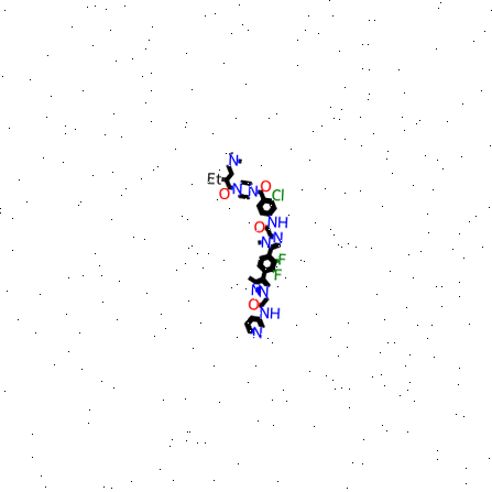 CCC(CCN(C)C)C(=O)N1CCN(C(=O)c2ccc(NC(=O)c3ncc(-c4ccc(-c5cn(CC(=O)Nc6cccnc6)nc5C)c(F)c4F)n3C)cc2Cl)CC1